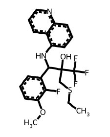 CCSCC(O)(C(Nc1cccc2ncccc12)c1cccc(OC)c1F)C(F)(F)F